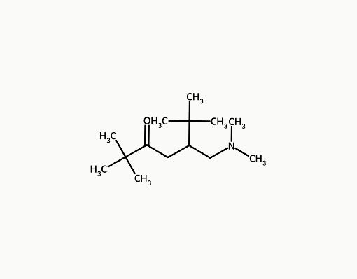 CN(C)CC(CC(=O)C(C)(C)C)C(C)(C)C